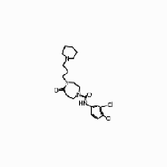 O=C1CCN(C(=O)Nc2ccc(Cl)c(Cl)c2)CCN1CCCN1CCCCC1